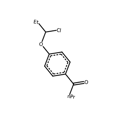 CCCC(=O)c1ccc(OC(Cl)CC)cc1